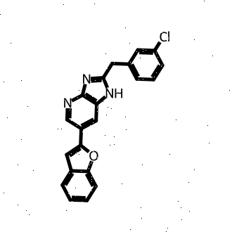 Clc1cccc(Cc2nc3ncc(-c4cc5ccccc5o4)cc3[nH]2)c1